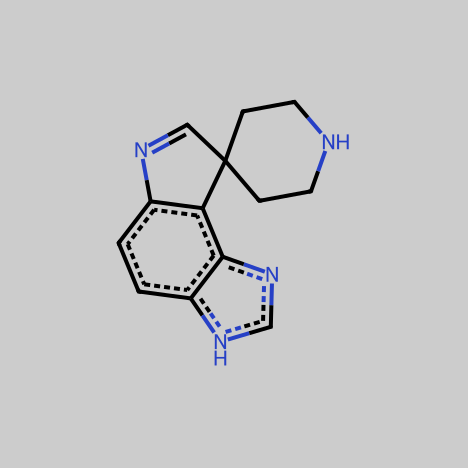 C1=Nc2ccc3[nH]cnc3c2C12CCNCC2